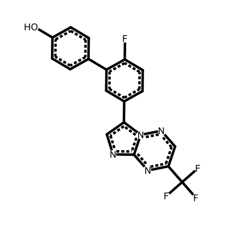 Oc1ccc(-c2cc(-c3cnc4nc(C(F)(F)F)cnn34)ccc2F)cc1